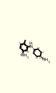 Bc1ccc(C)c(N[C@H]2CC[C@H](N)CC2)c1